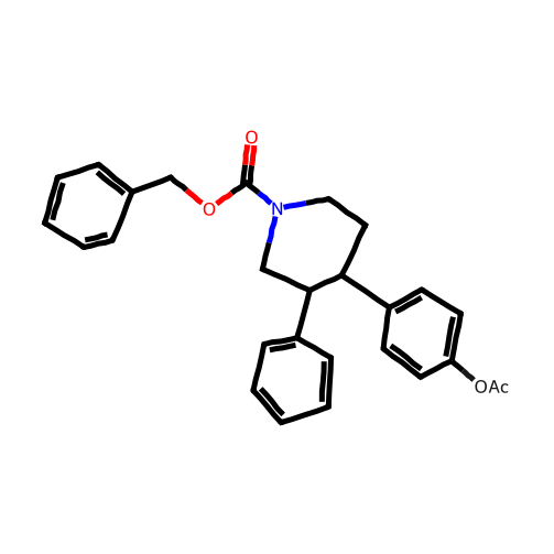 CC(=O)Oc1ccc(C2CCN(C(=O)OCc3ccccc3)CC2c2ccccc2)cc1